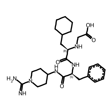 N=C(N)N1CCC(NC(=O)[C@H](Cc2ccccc2)NC(=O)[C@@H](CC2CCCCC2)NCC(=O)O)CC1